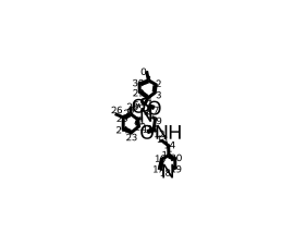 Cc1ccc(S(=O)(=O)N(CC(=O)NCCc2ccncc2)c2cccc(C)c2C)cc1